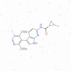 COc1ncc(F)c(OC)c1-c1c[nH]c2nc(NC(=O)[C@H]3C[C@H]3F)ccc12